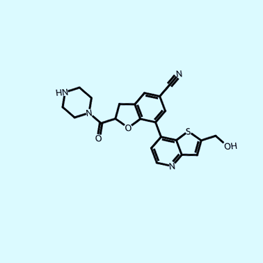 N#Cc1cc2c(c(-c3ccnc4cc(CO)sc34)c1)OC(C(=O)N1CCNCC1)C2